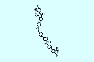 CN(CCC1CCN(c2ccc(NC(=O)C3CCN(c4ccc(C#N)c(C(F)(F)F)c4)CC3)nc2)CC1)C1CCN(c2ccc3c(c2)C(=O)N(C2CCC(=O)NC2=O)C3=O)CC1